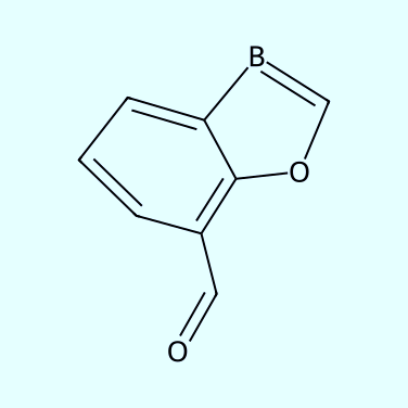 O=Cc1cccc2bcoc12